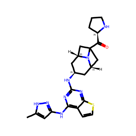 Cc1cc(Nc2nc(N[C@H]3C[C@@H]4CC5(C(=O)[C@H]6CCCN6)C[C@H](C3)N45)nc3sccc23)n[nH]1